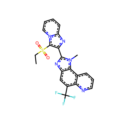 CCS(=O)(=O)c1c(-c2nc3cc(C(F)(F)F)c4ncccc4c3n2C)nc2ccccn12